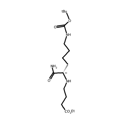 CCOC(=O)CCCN[C@@H](CCCCNC(=O)OC(C)(C)C)C(N)=O